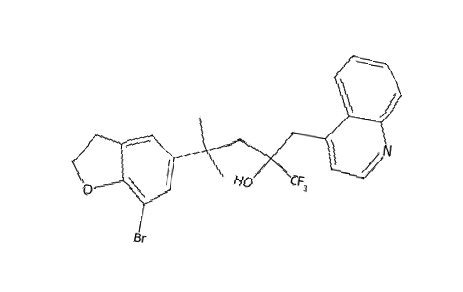 CC(C)(CC(O)(Cc1ccnc2ccccc12)C(F)(F)F)c1cc(Br)c2c(c1)CCO2